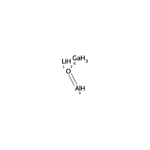 [GaH3].[LiH].[O]=[AlH]